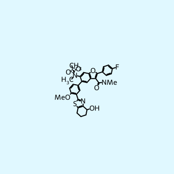 CNC(=O)c1c(-c2ccc(F)cc2)oc2cc(N(C)S(C)(=O)=O)c(-c3ccc(OC)c(-c4nc5c(s4)CCCC5O)c3)cc12